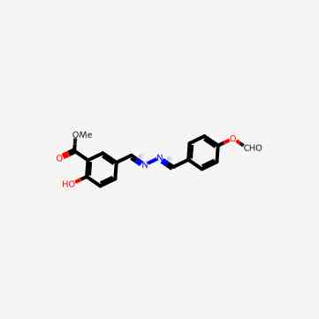 COC(=O)c1cc(/C=N/N=C/c2ccc(OC=O)cc2)ccc1O